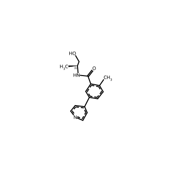 Cc1ccc(-c2ccncc2)cc1C(=O)N[C@@H](C)CO